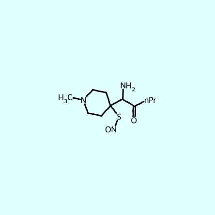 CCCC(=O)C(N)C1(SN=O)CCN(C)CC1